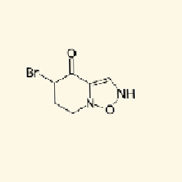 O=C1C2=CNON2CCC1Br